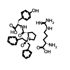 N=C(N)NCCC[C@H](N)C(=O)O.O=C(O)[C@H](Cc1ccc(O)cc1)NC(=O)[C@@H]1CCCN1P(=O)(Cc1ccccc1)Cc1ccccc1